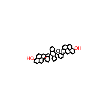 CC1(c2cccc(-c3cc4ccc(O)c5ccc6cccc3c6c45)c2)c2ccccc2C(Cc2cc3ccc4ccc(O)c5ccc(c2)c3c45)(c2ccccc2)c2ccccc21